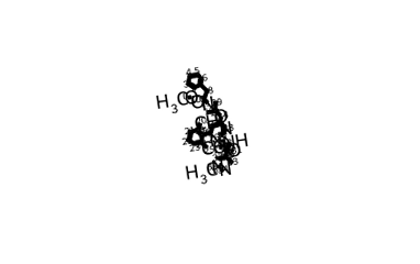 COc1ccccc1CC(=O)N1CC(Oc2cc(-c3c(C)cccc3C)nc(NS(=O)(=O)c3cnn(C)c3)n2)C1